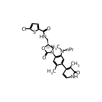 CCCN(C)c1cc(-c2cc[nH]c(=O)c2C)c(C)cc1N1C[C@H](CNC(=O)c2ccc(Cl)s2)OC1=O